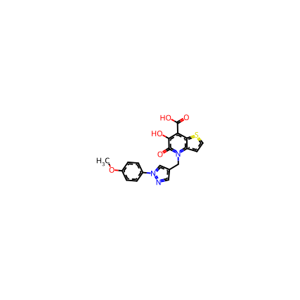 COc1ccc(-n2cc(Cn3c(=O)c(O)c(C(=O)O)c4sccc43)cn2)cc1